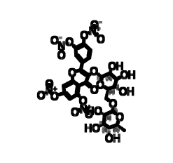 C[C@@H]1O[C@@H](OC[C@H]2O[C@@H](Oc3c(-c4ccc(O[N+](=O)[O-])c(O[N+](=O)[O-])c4)oc4cc(O[N+](=O)[O-])cc(O[N+](=O)[O-])c4c3=O)[C@@H](O)C(O)[C@@H]2O)[C@@H](O)[C@@H](O)[C@H]1O